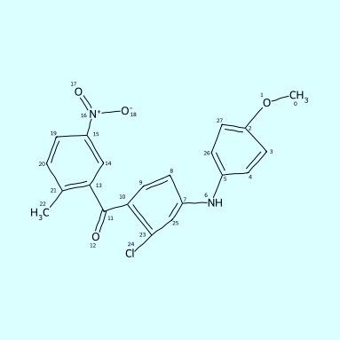 COc1ccc(Nc2ccc(C(=O)c3cc([N+](=O)[O-])ccc3C)c(Cl)c2)cc1